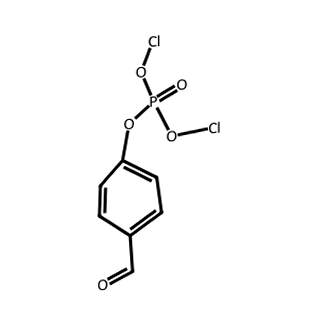 O=Cc1ccc(OP(=O)(OCl)OCl)cc1